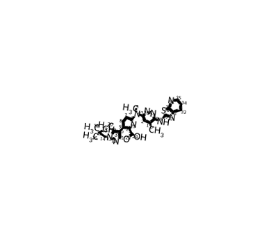 Cc1cc(N(C)c2ccc(-c3cnn(CC(C)(C)C)c3C)c(C(=O)O)n2)nnc1Nc1nc2cccnc2s1